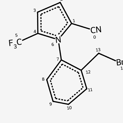 N#Cc1ccc(C(F)(F)F)n1-c1ccccc1CBr